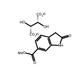 COC(=O)c1ccc2c(c1)NC(=O)C2.O=C(O)[C@H](O)[C@@H](O)C(=O)O